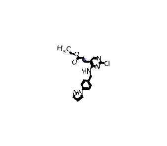 CCOC(=O)/C=C/c1cnc(Cl)nc1NCc1ccc(-n2cccn2)cc1